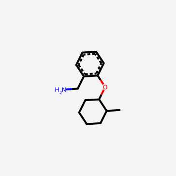 CC1CCCCC1Oc1ccccc1CN